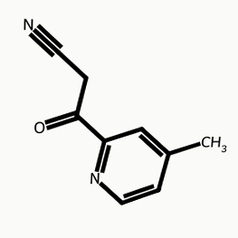 Cc1ccnc(C(=O)CC#N)c1